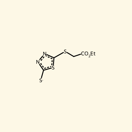 CCOC(=O)CSc1nnc([S])s1